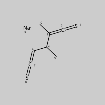 CC(=C=S)C(C)C=C=S.[Na]